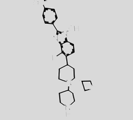 Cn1c(-c2ccc(S(C)(=O)=O)cc2)nc2c(F)c(C3CCN(C4CCNCC4)[C@@H](C4COC4)C3)ccc21